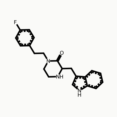 O=C1C(Cc2c[nH]c3ccccc23)NCCN1CCc1ccc(F)cc1